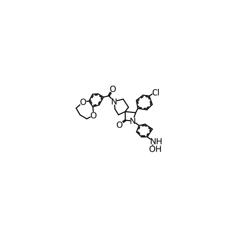 O=C(c1ccc2c(c1)OCCCO2)N1CCC2(CC1)C(=O)N(c1ccc(NO)cc1)C2c1ccc(Cl)cc1